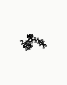 CCCc1nc2c(C)cc(C)nc2n1Cc1ccc(C=CCN2CCN(C(C)C)CC2)cc1.Cl.Cl